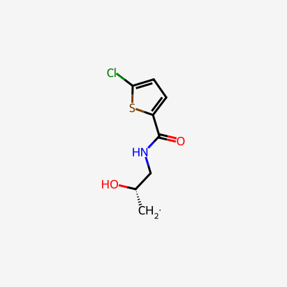 [CH2][C@H](O)CNC(=O)c1ccc(Cl)s1